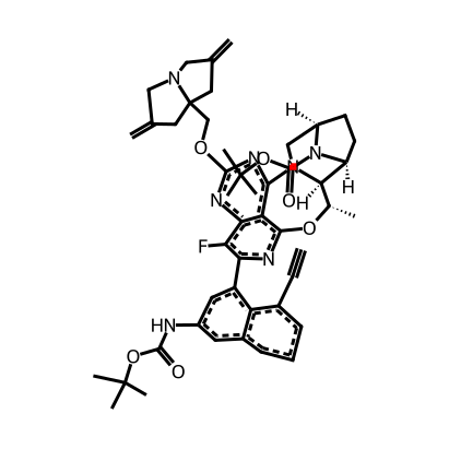 C#Cc1cccc2cc(NC(=O)OC(C)(C)C)cc(-c3nc4c5c(nc(OCC67CC(=C)CN6CC(=C)C7)nc5c3F)N3C[C@H]5CC[C@@H]([C@H]3[C@H](C)O4)N5C(=O)OC(C)(C)C)c12